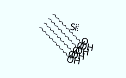 CCCCCCCCCCCCCCCCCC(=O)O.CCCCCCCCCCCCCCCCCC(=O)O.CCCCCCCCCCCCCCCCCC(=O)O.CCCCCCCCCCCCCCCCCC(=O)O.[Si]